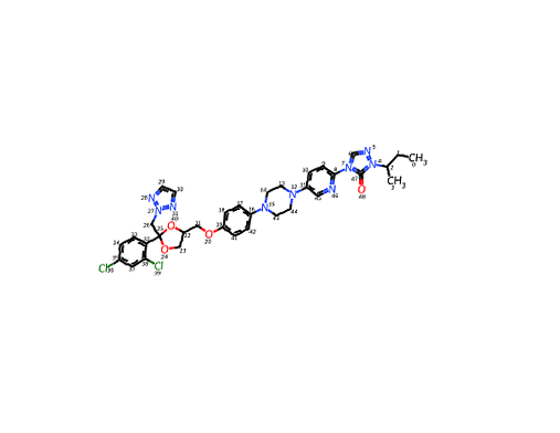 CCC(C)n1ncn(-c2ccc(N3CCN(c4ccc(OCC5COC(Cn6nccn6)(c6ccc(Cl)cc6Cl)O5)cc4)CC3)cn2)c1=O